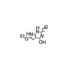 CCOc1cc2c([nH]1)NC(=C=O)N=C2O